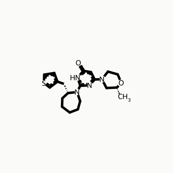 C[C@@H]1CN(c2cc(=O)[nH]c(N3CCCCC[C@@H]3Cc3ccsc3)n2)CCO1